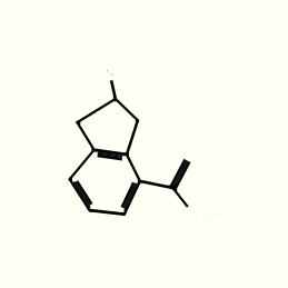 COC(=O)c1cccc2c1CC(N)C2